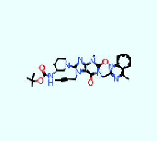 CC#CCn1c(N2CCCC(NC(=O)OC(C)(C)C)C2)nc2c1c(=O)n(Cc1nc(C)c3ccccc3n1)c(=O)n2C